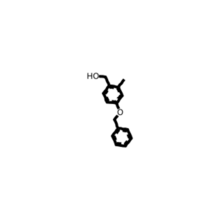 Cc1cc(OCc2ccccc2)ccc1CO